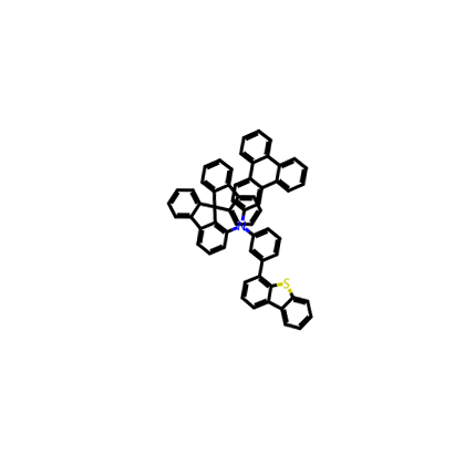 c1cc(-c2cccc3c2sc2ccccc23)cc(N(c2ccc3c4ccccc4c4ccccc4c3c2)c2cccc3c2C2(c4ccccc4-c4ccccc42)c2ccccc2-3)c1